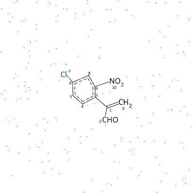 C=C(C=O)c1ccc(Cl)cc1[N+](=O)[O-]